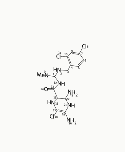 CNC(NCc1ccc(Cl)cc1Cl)NC(=O)C1NC(Cl)=C(N)NC1N